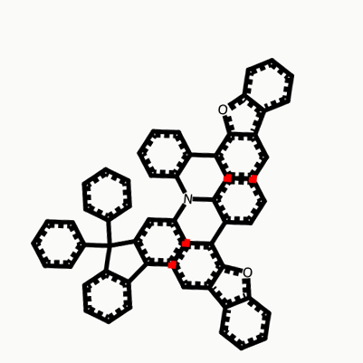 c1ccc(C2(c3ccccc3)c3ccccc3-c3ccc(N(c4ccccc4-c4cccc5c4oc4ccccc45)c4ccccc4-c4cccc5c4oc4ccccc45)cc32)cc1